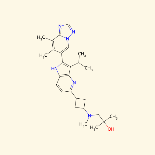 Cc1c(-c2[nH]c3ccc(C4CC(N(C)CC(C)(C)O)C4)nc3c2C(C)C)cn2ncnc2c1C